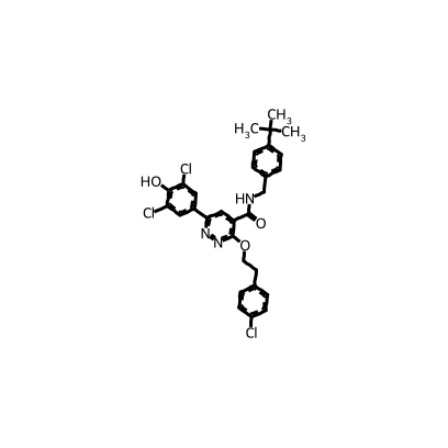 CC(C)(C)c1ccc(CNC(=O)c2cc(-c3cc(Cl)c(O)c(Cl)c3)nnc2OCCc2ccc(Cl)cc2)cc1